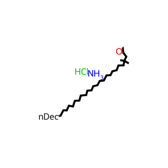 CCCCCCCCCCCCCCCCCCCCCCCCCCCCCCCC(C)(C)CC1CO1.Cl.N